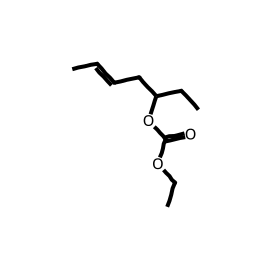 CC=CCC(CC)OC(=O)OCC